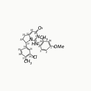 COc1ccc(Nc2nc(=O)cc3n2C(c2ccc(C)c(Cl)c2)CC3)c(C)c1